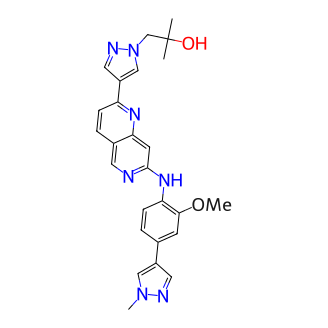 COc1cc(-c2cnn(C)c2)ccc1Nc1cc2nc(-c3cnn(CC(C)(C)O)c3)ccc2cn1